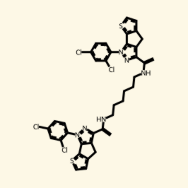 C=C(NCCCCCCNC(=C)c1nn(-c2ccc(Cl)cc2Cl)c2c1Cc1ccsc1-2)c1nn(-c2ccc(Cl)cc2Cl)c2c1Cc1ccsc1-2